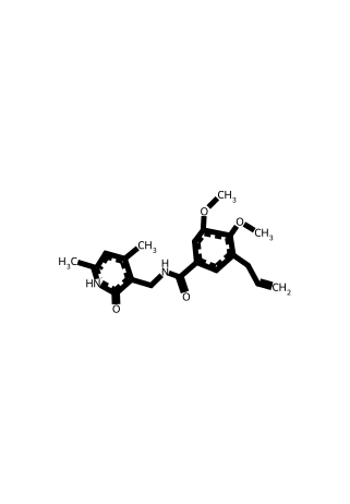 C=CCc1cc(C(=O)NCc2c(C)cc(C)[nH]c2=O)cc(OC)c1OC